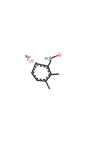 Cc1cccc([SiH2][O-])c1C.O.[Na+]